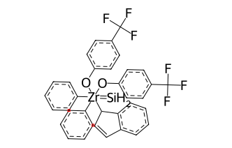 FC(F)(F)c1ccc([O][Zr](=[SiH2])([O]c2ccc(C(F)(F)F)cc2)([c]2ccccc2)([c]2ccccc2)[CH]2C=Cc3ccccc32)cc1